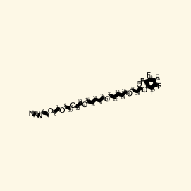 [N-]=[N+]=NCCOCCOCCOCCOCCCCCOCCCCCOCCC(=O)Oc1c(F)c(F)c(F)c(F)c1F